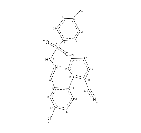 Cc1ccc(S(=O)(=O)NN=Cc2cc(Cl)ccc2-c2ccccc2C#N)cc1